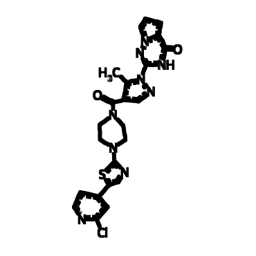 Cc1c(C(=O)N2CCN(c3ncc(-c4ccnc(Cl)c4)s3)CC2)cnn1-c1nn2cccc2c(=O)[nH]1